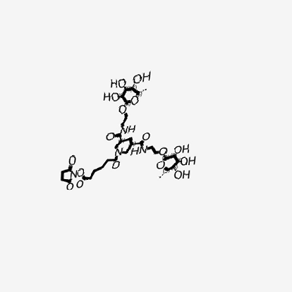 C[C@@H]1O[C@@H](OCCNC(=O)[C@@H]2C[C@H](C(=O)NCCO[C@@H]3O[C@@H](C)[C@@H](O)[C@@H](O)[C@@H]3O)CN(C(=O)CCCCC(=O)ON3C(=O)CCC3=O)C2)[C@@H](O)[C@H](O)[C@@H]1O